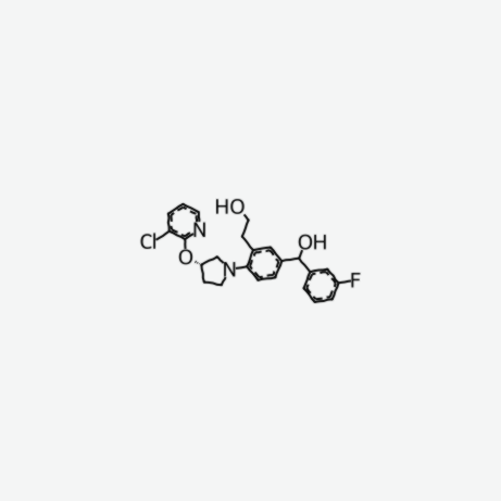 OCCc1cc(C(O)c2cccc(F)c2)ccc1N1CC[C@H](Oc2ncccc2Cl)C1